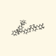 CC1(C)OB(c2cnc3c(c2)c(-c2cccc(CNC(=O)c4cccn(Cc5ccc(F)c(F)c5)c4=O)c2)cn3S(=O)(=O)c2ccccc2)OC1(C)C